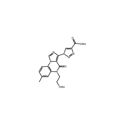 COCCn1c(=O)c2c(-n3cc(C(=O)OC)nn3)ncn2c2ccc(C)cc21